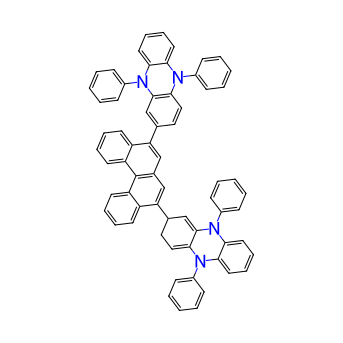 C1=C2C(=CC(c3cc4cc(-c5ccc6c(c5)N(c5ccccc5)c5ccccc5N6c5ccccc5)c5ccccc5c4c4ccccc34)C1)N(c1ccccc1)c1ccccc1N2c1ccccc1